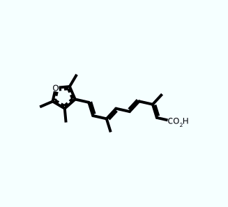 CC(C=Cc1c(C)oc(C)c1C)=CC=CC(C)=CC(=O)O